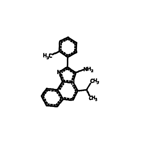 Cc1ccccc1-c1nc2c3ccccc3cc(C(C)C)n2c1N